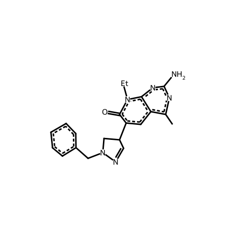 CCn1c(=O)c(C2C=NN(Cc3ccccc3)C2)cc2c(C)nc(N)nc21